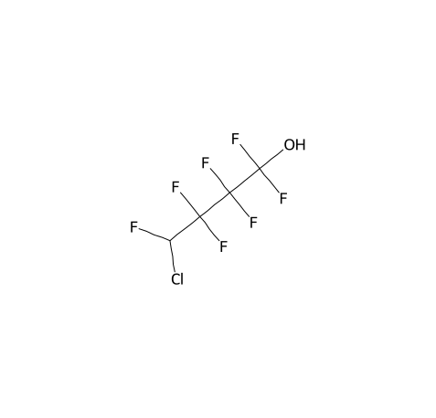 OC(F)(F)C(F)(F)C(F)(F)C(F)Cl